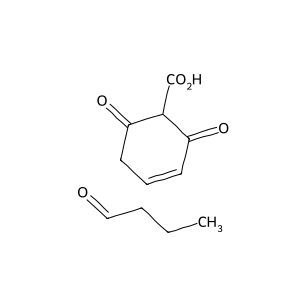 CCCC=O.O=C(O)C1C(=O)C=CCC1=O